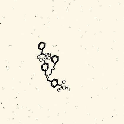 CS(=O)(=O)c1ccc(CN(CCSc2ccccc2)Cc2ccc(S(=O)(=O)NC(=O)c3ccccc3)cc2)cc1